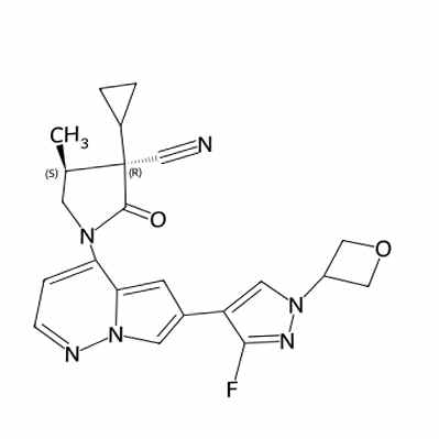 C[C@@H]1CN(c2ccnn3cc(-c4cn(C5COC5)nc4F)cc23)C(=O)[C@]1(C#N)C1CC1